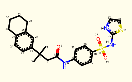 CC(C)(CC(=O)Nc1ccc(S(=O)(=O)Nc2nccs2)cc1)c1ccc2c(c1)CCCC2